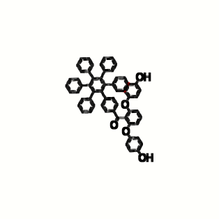 O=C(c1ccc(-c2c(-c3ccccc3)c(-c3ccccc3)c(-c3ccccc3)c(-c3ccccc3)c2-c2ccccc2)cc1)c1c(Oc2ccc(O)cc2)cccc1Oc1ccc(O)cc1